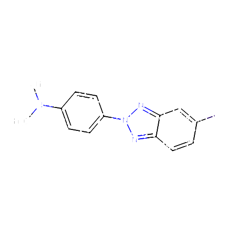 CN(C)c1ccc(-n2nc3ccc([123I])cc3n2)cc1